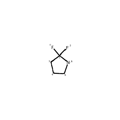 FC1(F)CCC[N]1